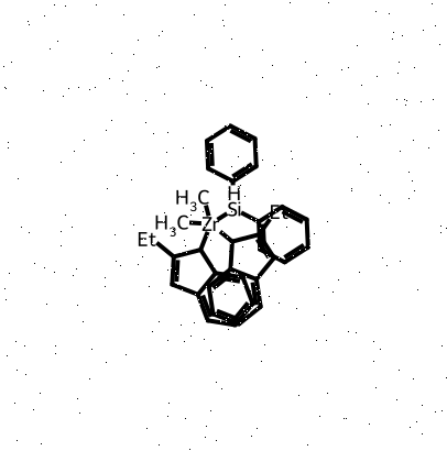 CCC1=Cc2ccccc2[CH]1[Zr]([CH3])([CH3])([CH]1C(CC)=Cc2ccccc21)[SiH](c1ccccc1)c1ccccc1